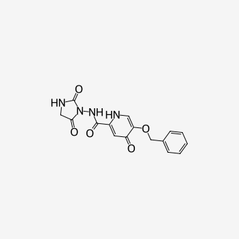 O=C(NN1C(=O)CNC1=O)c1cc(=O)c(OCc2ccccc2)c[nH]1